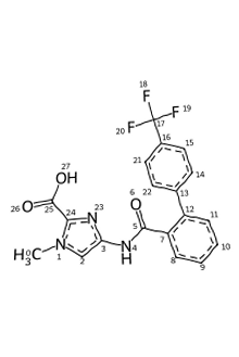 Cn1cc(NC(=O)c2ccccc2-c2ccc(C(F)(F)F)cc2)nc1C(=O)O